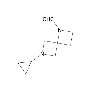 O=CN1CCC12CN(C1CC1)C2